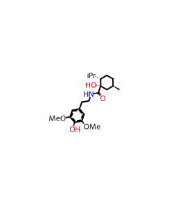 COc1cc(CCNC(=O)[C@]2(O)C[C@H](C)CC[C@H]2C(C)C)cc(OC)c1O